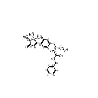 Cc1cc(C[C@H](NC(=O)OCc2ccccc2)C(=O)O)ccc1C1=CC(=O)N(C(C)(C)C)S1(O)O